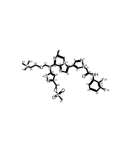 Cc1cn2c(-c3cnn(CC(=O)Nc4cccc(F)c4F)c3)cnc2c(N(COCC[Si](C)(C)C)c2cc(COS(C)(=O)=O)ns2)n1